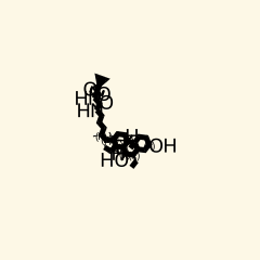 CC[C@@H]1C2C[C@H](O)CCC2(C)[C@H]2CC[C@]3(C)[C@@H]([C@H](C)CCCNC(=O)NS(=O)(=O)C4CC4)CC[C@H]3[C@@H]2[C@@H]1O